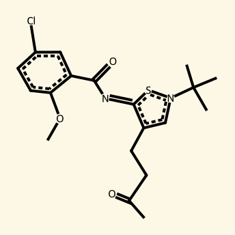 COc1ccc(Cl)cc1C(=O)/N=c1\sn(C(C)(C)C)cc1CCC(C)=O